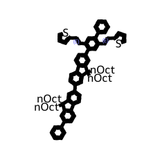 CCCCCCCCC1(CCCCCCCC)c2cc(-c3ccccc3)ccc2-c2ccc(-c3ccc4c(c3)C(CCCCCCCC)(CCCCCCCC)c3cc(-c5cc(/C=C/c6cccs6)c(-c6ccccc6)cc5/C=C/c5cccs5)ccc3-4)cc21